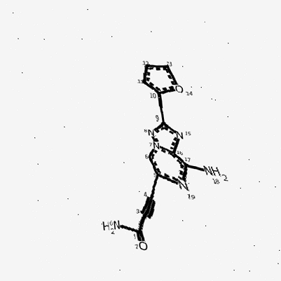 NC(=O)C#Cc1cn2nc(-c3ccco3)nc2c(N)n1